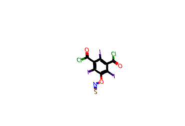 O=C(Cl)c1c(I)c(ON=S)c(I)c(C(=O)Cl)c1I